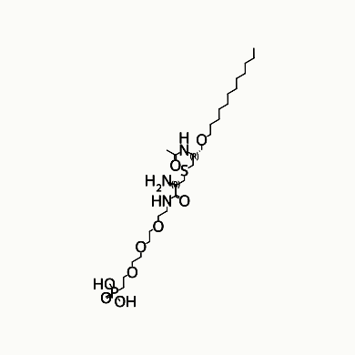 CCCCCCCCCCCCOC[C@H](CSC[C@H](N)C(=O)NCCOCCOCCOCCP(=O)(O)O)NC(C)=O